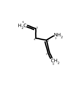 C=C=C(N)CC=C